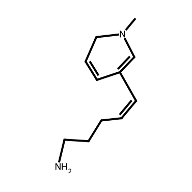 CN1C=C(/C=C\CCCN)C=CC1